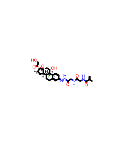 C=C(C)C(=O)NCC(=O)NCC(=O)N/N=C1\C=C[C@@]2(C)C(=C1)CC[C@H]1[C@@H]3C[C@@H](C)[C@@]4(C(=O)CO)O[C@]34C[C@H](O)[C@@]12F